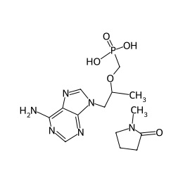 CC(Cn1cnc2c(N)ncnc21)OCP(=O)(O)O.CN1CCCC1=O